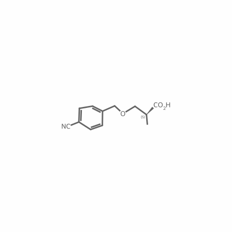 C[C@@H](COCc1ccc(C#N)cc1)C(=O)O